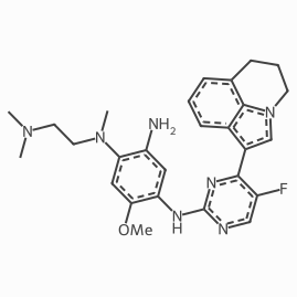 COc1cc(N(C)CCN(C)C)c(N)cc1Nc1ncc(F)c(-c2cn3c4c(cccc24)CCC3)n1